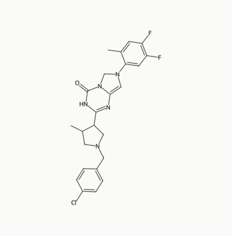 Cc1cc(F)c(F)cc1N1C=C2N=C(C3CN(Cc4ccc(Cl)cc4)CC3C)NC(=O)N2C1